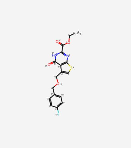 CCOC(=O)c1nc2scc(COCc3ccc(F)cc3)c2c(=O)[nH]1